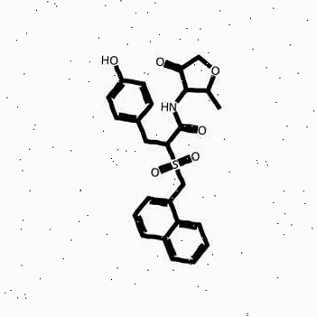 CC1OCC(=O)C1NC(=O)C(Cc1ccc(O)cc1)S(=O)(=O)Cc1cccc2ccccc12